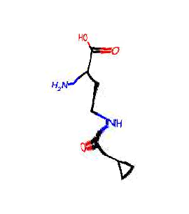 NC(CCNC(=O)C1CC1)C(=O)O